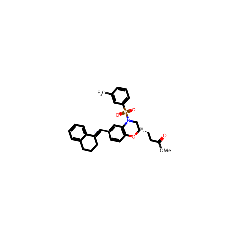 COC(=O)CC[C@H]1CN(S(=O)(=O)c2cccc(C(F)(F)F)c2)c2cc(/C=C3\CCCc4ccccc43)ccc2O1